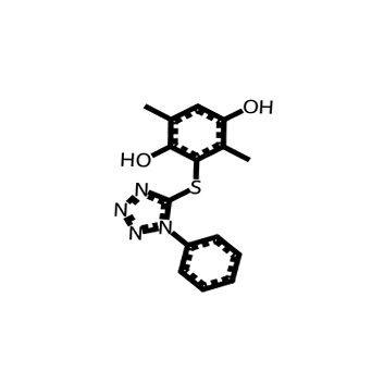 Cc1cc(O)c(C)c(Sc2nnnn2-c2ccccc2)c1O